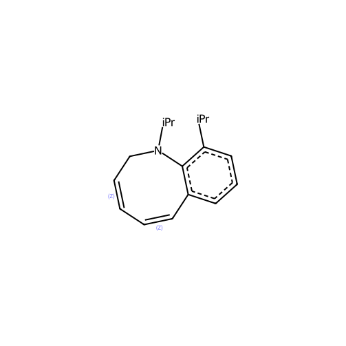 CC(C)c1cccc2c1N(C(C)C)C/C=C\C=C/2